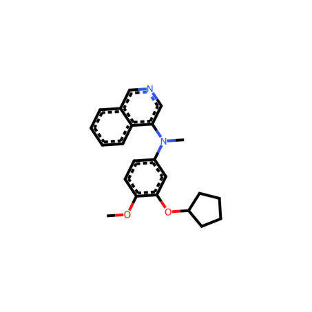 COc1ccc(N(C)c2cncc3ccccc23)cc1OC1CCCC1